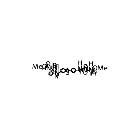 COC(=O)N[C@H](C(=O)N1CCCC1c1ncc(-c2ccc(-c3cc4ccc(-c5cnc([C@@H]6CCCN6C(=O)[C@@H](NC(=O)OC)C(C)C)[nH]5)cc4s3)cc2)[nH]1)C(C)C